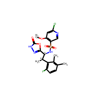 COc1cc(Cl)ncc1S(=O)(=O)N[C@H](c1n[nH]c(=O)o1)[C@H](C)c1c(F)ccc(C)c1C